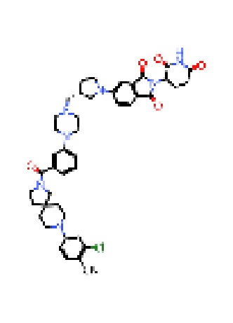 N#Cc1ccc(N2CCC3(CCN(C(=O)c4cccc(N5CCN(C[C@@H]6CCN(c7ccc8c(c7)C(=O)N(C7CCC(=O)NC7=O)C8=O)C6)CC5)c4)C3)CC2)cc1Cl